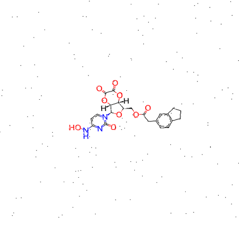 O=C(Cc1ccc2c(c1)CCC2)OC[C@H]1O[C@@H](n2ccc(NO)nc2=O)[C@@H]2OC(=O)C(=O)O[C@@H]21